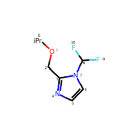 CC(C)OCc1nccn1C(F)F